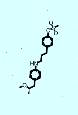 CO[C@H](C)Cc1ccc(NCCCc2ccc(OS(C)(=O)=O)cc2)cc1